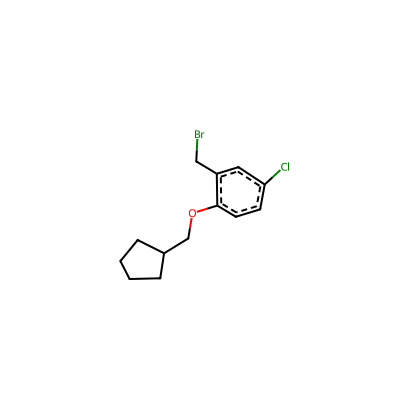 Clc1ccc(OCC2CCCC2)c(CBr)c1